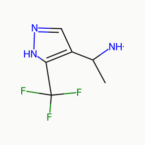 CC([NH])c1cn[nH]c1C(F)(F)F